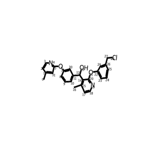 Cc1ccnc(Oc2cccc(C(O)c3c(C)ccnc3Oc3cccc(CCl)c3)c2)c1